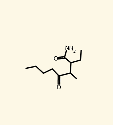 CCCCC(=O)C(C)C(CC)C(N)=O